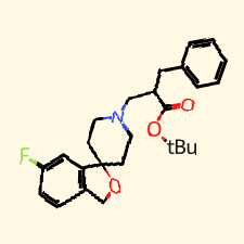 CC(C)(C)OC(=O)C(Cc1ccccc1)CN1CCC2(CC1)OCc1ccc(F)cc12